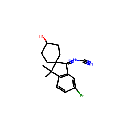 CC1(C)c2ccc(Br)cc2/C(=N\C#N)C12CCC(O)CC2